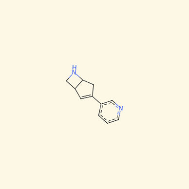 C1=C(c2cccnc2)CC2NCC12